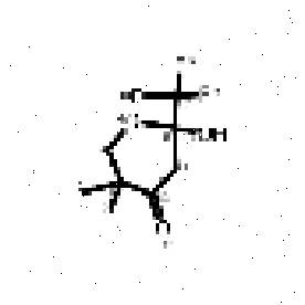 CC1(C)COC(O)(C(F)(F)F)CC1=O